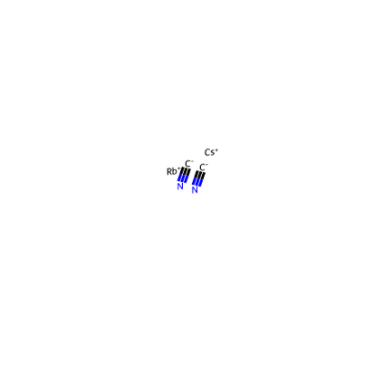 [C-]#N.[C-]#N.[Cs+].[Rb+]